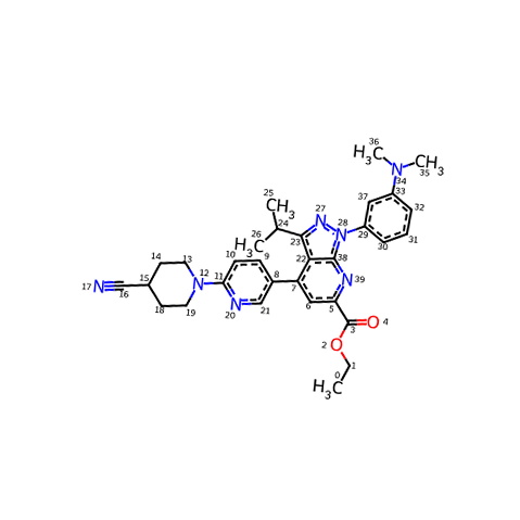 CCOC(=O)c1cc(-c2ccc(N3CCC(C#N)CC3)nc2)c2c(C(C)C)nn(-c3cccc(N(C)C)c3)c2n1